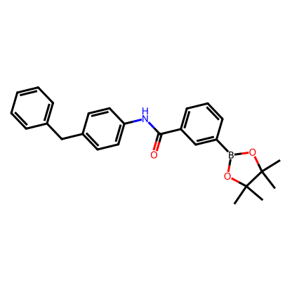 CC1(C)OB(c2cccc(C(=O)Nc3ccc(Cc4ccccc4)cc3)c2)OC1(C)C